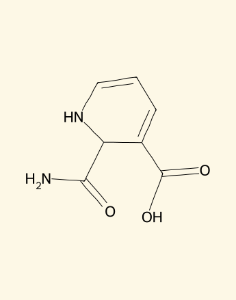 NC(=O)C1NC=CC=C1C(=O)O